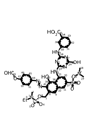 CCN(C)S(=O)(=O)OCc1cc2cc(S(=O)(=O)ON(C)C)cc(Nc3nc(O)nc(Nc4cccc(C(=O)O)c4)n3)c2c(O)c1N=Nc1ccc(OC=O)cc1